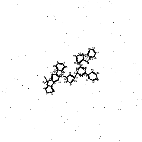 CC1(C)c2ccccc2-c2cc3c(cc21)c1ccccc1n3-c1cccc(-c2nc(-c3ccccc3)nc(-c3cccc4c3sc3ccccc34)n2)c1